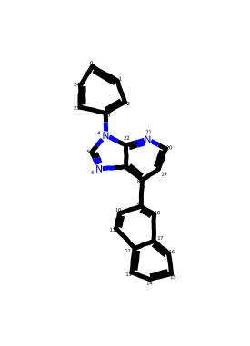 c1ccc(-n2cnc3c(-c4ccc5ccccc5c4)ccnc32)cc1